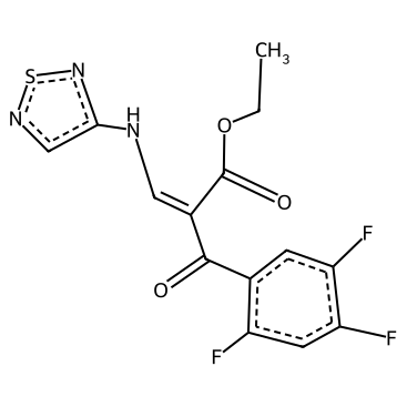 CCOC(=O)C(=CNc1cnsn1)C(=O)c1cc(F)c(F)cc1F